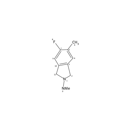 CNN1Cc2cc(C)c(F)cc2C1